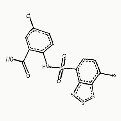 O=C(O)c1cc(Cl)ccc1NS(=O)(=O)c1ccc(Br)c2nsnc12